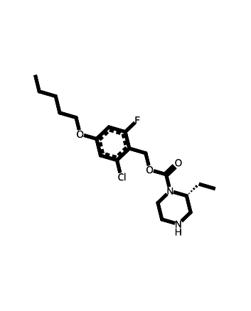 CCCCCOc1cc(F)c(COC(=O)N2CCNC[C@H]2CC)c(Cl)c1